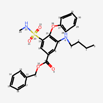 CCCCNc1cc(C(=O)OCc2ccccc2)cc(S(=O)(=O)NC)c1Oc1ccccc1